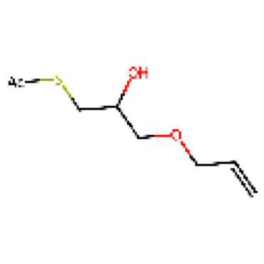 C=CCOCC(O)CSC(C)=O